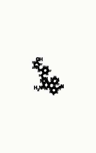 N#Cc1cccc(-c2nc(N)c3nc(Cc4ccccc4CN4CC[C@H](O)C4)nn3c2-c2ccncn2)c1